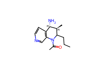 CCCC1[C@H](C)[C@@H](N)c2ccncc2N1C(C)=O